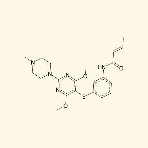 C/C=C/C(=O)Nc1cccc(Sc2c(OC)nc(N3CCN(C)CC3)nc2OC)c1